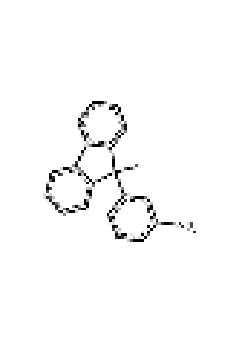 CC1(c2cccc([N+](=O)[O-])c2)c2ccccc2-c2ccccc21